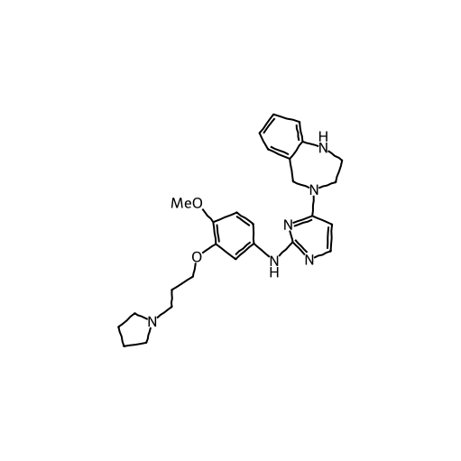 COc1ccc(Nc2nccc(N3CCNc4ccccc4C3)n2)cc1OCCCN1CCCC1